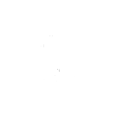 COc1ccc(/C(=C/C2CCOCC2)c2ccc(C3CC3)c(=O)[nH]2)cc1Cl